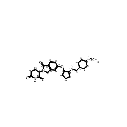 CO[C@H]1CC[C@@H](CNC2CCCC2Oc2ccc3c(c2)CN(C2CCC(=O)NC2=O)C3=O)CC1